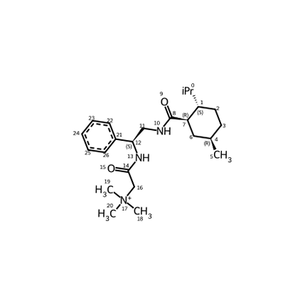 CC(C)[C@@H]1CC[C@@H](C)C[C@H]1C(=O)NC[C@@H](NC(=O)C[N+](C)(C)C)c1ccccc1